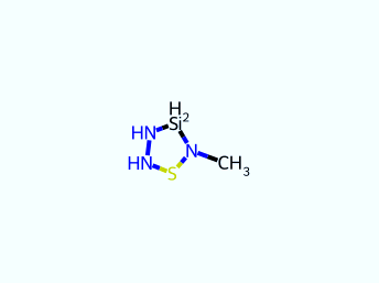 CN1[SiH2]NNS1